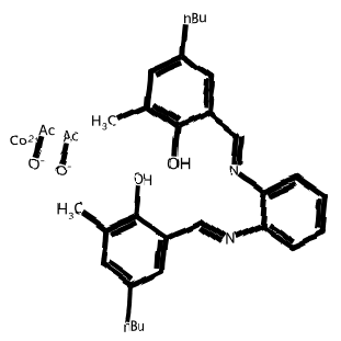 CC(=O)[O-].CC(=O)[O-].CCCCc1cc(C)c(O)c(C=Nc2ccccc2N=Cc2cc(CCCC)cc(C)c2O)c1.[Co+2]